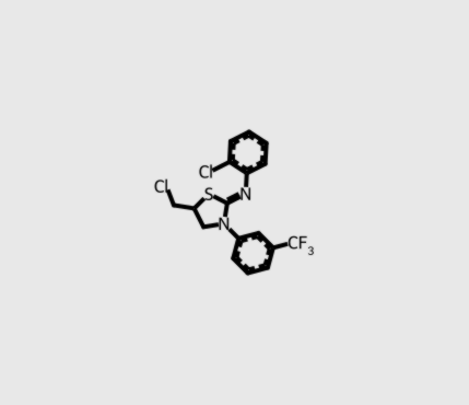 FC(F)(F)c1cccc(N2CC(CCl)SC2=Nc2ccccc2Cl)c1